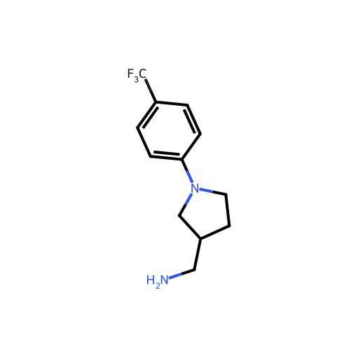 NCC1CCN(c2ccc(C(F)(F)F)cc2)C1